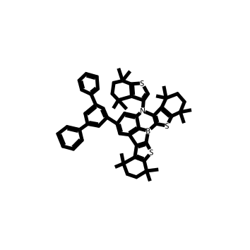 CC1(C)CCC(C)(C)c2c(N3c4cc(-c5cc(-c6ccccc6)cc(-c6ccccc6)c5)cc5c4B(c4sc6c(c4-5)C(C)(C)CCC6(C)C)c4sc5c(c43)C(C)(C)CCC5(C)C)csc21